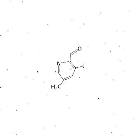 Cc1cnc(C=O)c(I)c1